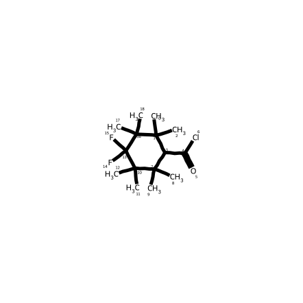 CC1(C)C(C(=O)Cl)C(C)(C)C(C)(C)C(F)(F)C1(C)C